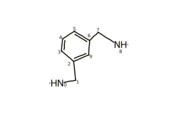 [NH]Cc1cccc(C[NH])c1